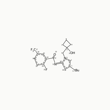 CC(C)(C)c1cn(CC2(O)CCC2)c(=NC(=O)c2cc(C(F)(F)F)ccc2F)s1